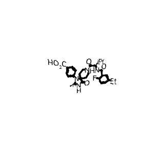 CCc1ccc(F)c(C(=O)N[C@@H](C(=O)N2CCC3(CC2)C(=O)N[C@@H](C)N3c2ccc(C(=O)O)cc2)C(C)C)c1